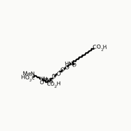 CN[C@@H](CCCCNC(=O)CC[C@H](NC(=O)CCOCCOCCOCCOCCNC(=O)CCCCCCCCCCCCCCC(=O)O)C(=O)O)C(=O)O